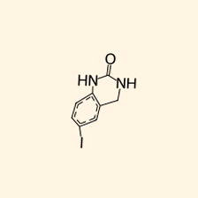 O=C1NCc2cc(I)ccc2N1